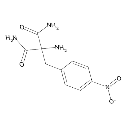 NC(=O)C(N)(Cc1ccc([N+](=O)[O-])cc1)C(N)=O